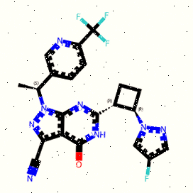 C[C@@H](c1ccc(C(F)(F)F)nc1)n1nc(C#N)c2c(=O)[nH]c([C@@H]3CC[C@H]3n3cc(F)cn3)nc21